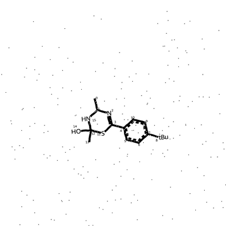 CC1N=C(c2ccc(C(C)(C)C)cc2)SC(C)(O)N1